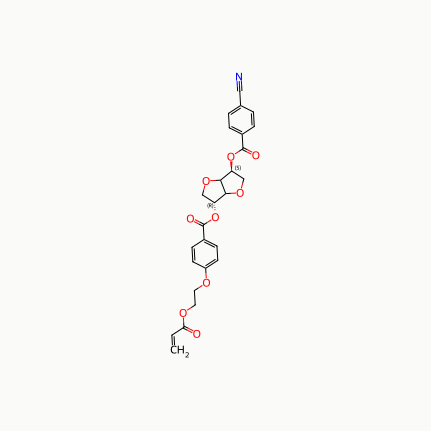 C=CC(=O)OCCOc1ccc(C(=O)O[C@@H]2COC3C2OC[C@@H]3OC(=O)c2ccc(C#N)cc2)cc1